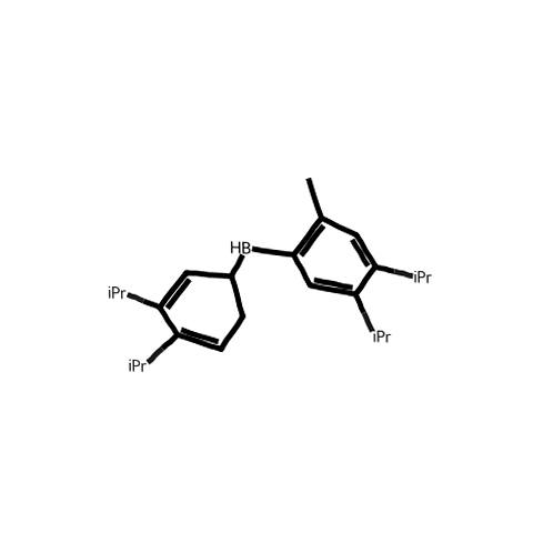 Cc1cc(C(C)C)c(C(C)C)cc1BC1C=C(C(C)C)C(C(C)C)=CC1